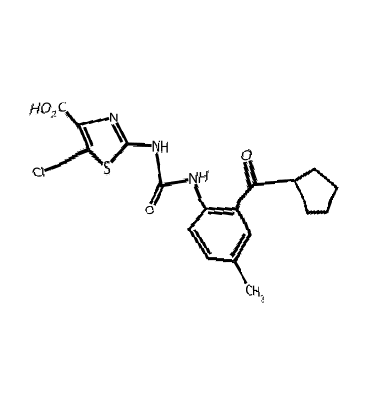 Cc1ccc(NC(=O)Nc2nc(C(=O)O)c(Cl)s2)c(C(=O)C2CCCC2)c1